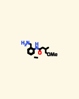 CC.COCC(C)CC(=O)Nc1ccccc1CN